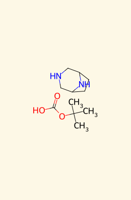 C1CC2CNCC1N2.CC(C)(C)OC(=O)O